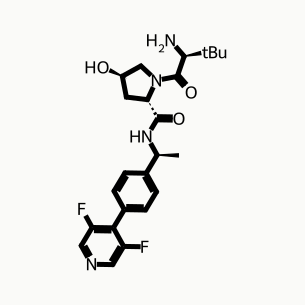 C[C@H](NC(=O)[C@@H]1C[C@@H](O)CN1C(=O)[C@@H](N)C(C)(C)C)c1ccc(-c2c(F)cncc2F)cc1